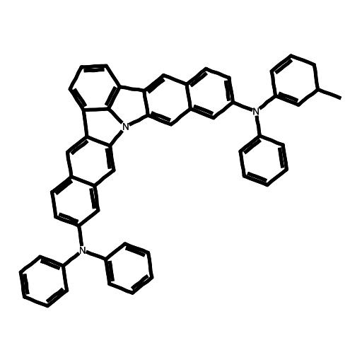 CC1C=C(N(c2ccccc2)c2ccc3cc4c5cccc6c7cc8ccc(N(c9ccccc9)c9ccccc9)cc8cc7n(c4cc3c2)c56)C=CC1